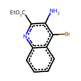 CCOC(=O)c1nc2ccccc2c(Br)c1N